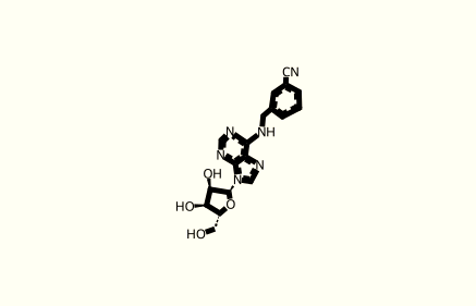 N#Cc1cccc(CNc2ncnc3c2ncn3[C@@H]2O[C@H](CO)[C@@H](O)[C@H]2O)c1